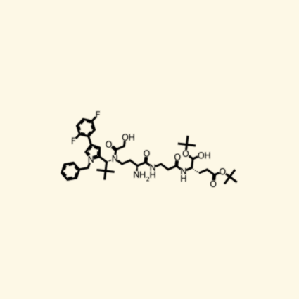 CC(C)(C)OC(=O)CC[C@H](NC(=O)CCNC(=O)[C@@H](N)CCN(C(=O)CO)[C@@H](c1cc(-c2cc(F)ccc2F)cn1Cc1ccccc1)C(C)(C)C)C(O)OC(C)(C)C